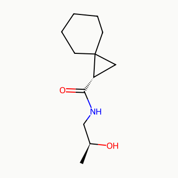 C[C@H](O)CNC(=O)[C@H]1CC12CCCCC2